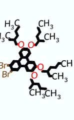 CCCCC(CC)COc1cc2c3cc(Br)c(Br)cc3c3cc(OCC(CC)CCCC)c(OCC(CC)CCCC)cc3c2cc1OCC(CC)CCCC